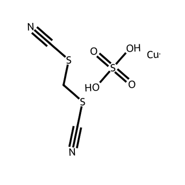 N#CSCSC#N.O=S(=O)(O)O.[Cu]